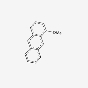 COc1cccc2cc3ccccc3cc12